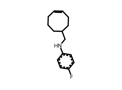 Fc1ccc(NCC2CCC=CCCC2)cc1